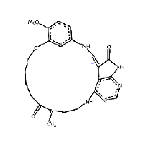 COc1ccc2cc1OCCCCC(=O)N(C)CCNc1ncnc3c1/C(=C\N2)C(=O)N3